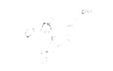 CCCCOC(=O)N1CCN(C(=O)[C@@H](CCCP(=O)(OCC)OCC)NC(=O)c2cc(N3CC[C@H](OC)C3)cc(-c3ccccc3)n2)CC1